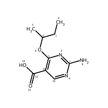 CCC(C)Oc1nc(N)ncc1C(=O)O